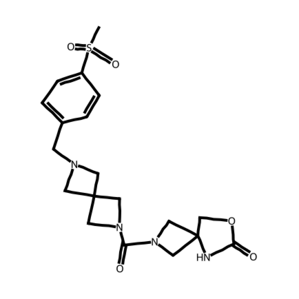 CS(=O)(=O)c1ccc(CN2CC3(C2)CN(C(=O)N2CC4(COC(=O)N4)C2)C3)cc1